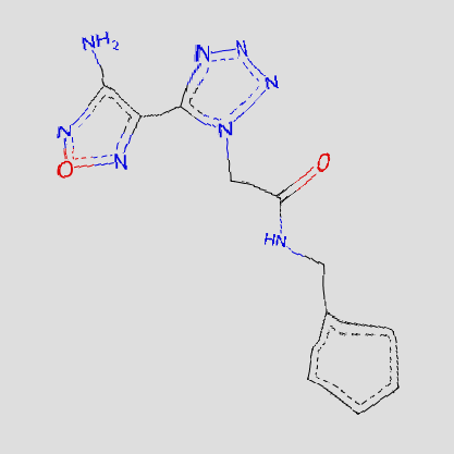 Nc1nonc1-c1nnnn1CC(=O)NCc1ccccc1